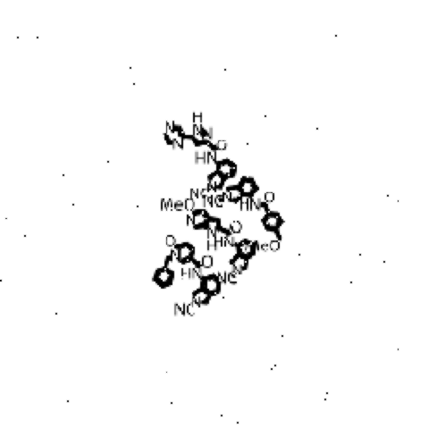 COCc1ccc(C(=O)Nc2cccc3c2CN(C#N)C3)cc1.COc1cc2cc(C(=O)Nc3cccc4c3CN(C#N)C4)[nH]c2cn1.N#CN1Cc2cccc(NC(=O)c3cc(-c4cnccn4)[nH]n3)c2C1.N#CN1Cc2cccc(NC(=O)c3ccc(=O)n(Cc4ccccc4)c3)c2C1